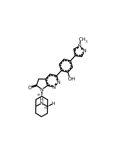 Cn1cc(-c2ccc(-c3cc4c(nn3)N([C@@H]3CC5CCC[C@@H](C3)N5)C(=O)C4)c(O)c2)cn1